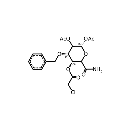 CC(=O)OC1[C@H](OC(C)=O)OC(C(N)=O)[C@@H](OC(=O)CCl)[C@H]1OCc1ccccc1